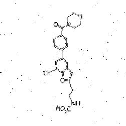 O=C(O)NCCc1cc2cc(-c3ccc(C(=O)N4CCOCC4)cc3)cc(Cl)c2o1